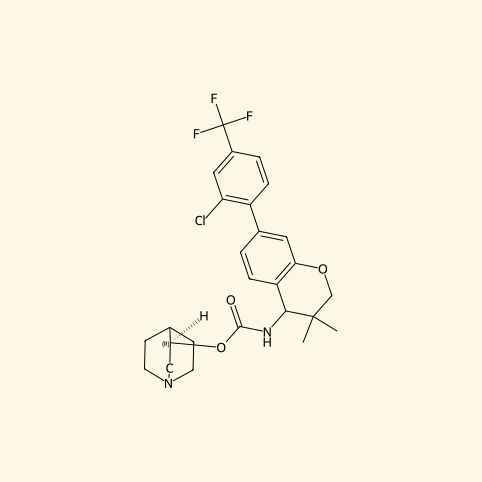 CC1(C)COc2cc(-c3ccc(C(F)(F)F)cc3Cl)ccc2C1NC(=O)O[C@H]1CN2CCC1CC2